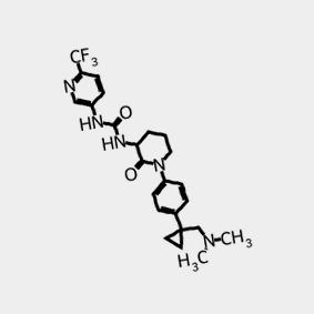 CN(C)CC1(c2ccc(N3CCCC(NC(=O)Nc4ccc(C(F)(F)F)nc4)C3=O)cc2)CC1